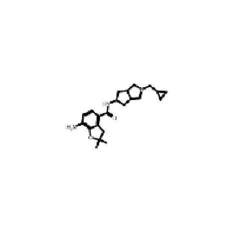 CC1(C)Cc2c(C(=O)NC3CC4CN(CC5CC5)CC4C3)ccc(N)c2O1